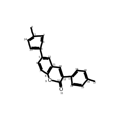 Cc1ccc(-c2ccc3oc(=O)c(-c4ccc(C)cc4)cc3c2)cc1